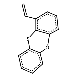 C=Cc1cccc2c1Sc1ccccc1O2